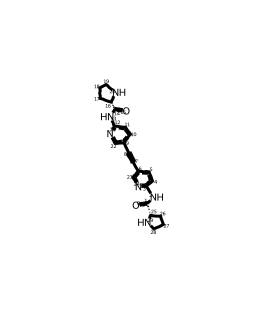 O=C(Nc1ccc(C#Cc2ccc(NC(=O)[C@@H]3CCCN3)nc2)cn1)[C@@H]1CCCN1